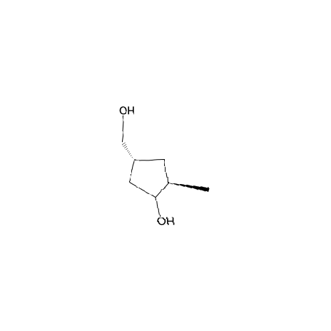 C[C@@H]1C[C@@H](CO)CC1O